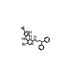 BrC1=C(Nc2cc(C3CC3)[nH]n2)NC(NCCC(c2ccccc2)c2ccccc2)N=C1